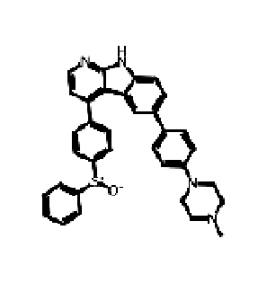 CN1CCN(c2ccc(-c3ccc4[nH]c5nccc(-c6ccc([S+]([O-])c7ccccc7)cc6)c5c4c3)cc2)CC1